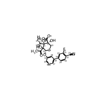 CC(=O)[C@]1(O)[C@@](O)(C(C)=O)CS[C@H](Oc2cncc(-c3ccc(C#N)c(F)c3)c2)[C@@]1(O)C(C)=O